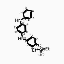 CC[Si](CC)(CC)Oc1ccc(Nc2ccc(Nc3ccccc3)cc2)cc1